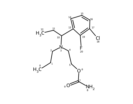 CCCN(CCOC(N)=O)C(CC)c1cccc(Cl)c1F